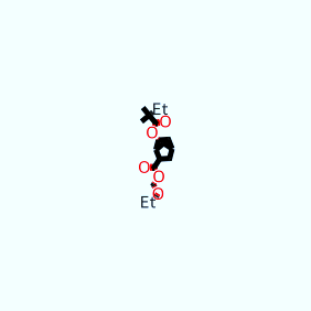 CCOCOC(=O)C1CC2CC(OC(=O)C(C)(C)CC)C1C2